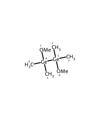 C[O][Ge]([CH3])([CH3])[Ge]([CH3])([CH3])[O]C